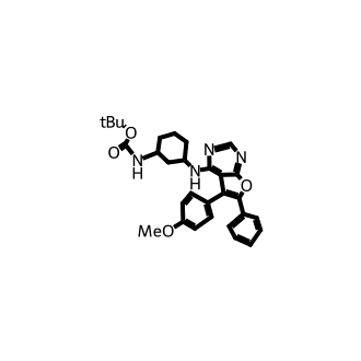 COc1ccc(-c2c(-c3ccccc3)oc3ncnc(NC4CCCC(NC(=O)OC(C)(C)C)C4)c23)cc1